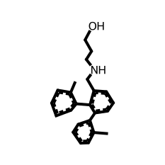 Cc1ccccc1-c1cccc(CNCCCO)c1-c1ccccc1C